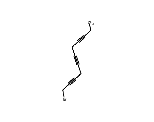 CCC#CCC#CCC#CCBr